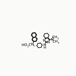 CN(C)c1nc(N[C@H]2CC[C@@H](CN(C(=O)O)c3ccc4ccccc4c3)CC2)nc2c1CCCC2